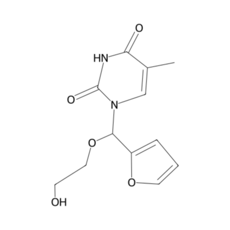 Cc1cn(C(OCCO)c2ccco2)c(=O)[nH]c1=O